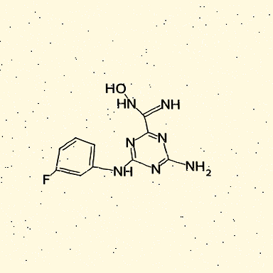 N=C(NO)c1nc(N)nc(Nc2cccc(F)c2)n1